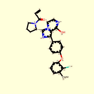 C=CC(=O)N1CCC[C@H]1c1nc(-c2ccc(Oc3cccc(OC)c3F)cc2)c2c(O)nccn12